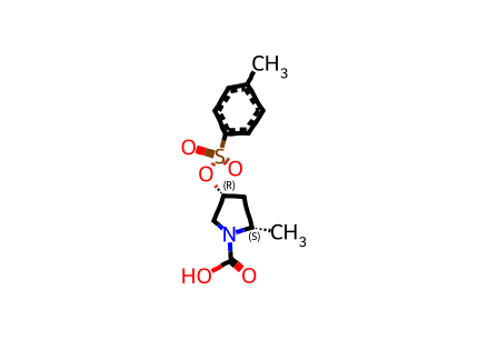 Cc1ccc(S(=O)(=O)O[C@@H]2C[C@H](C)N(C(=O)O)C2)cc1